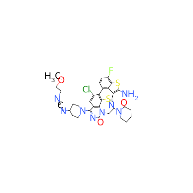 COCCN=C=NC1CCN(c2nc(=O)n3c4c(c(-c5ccc(F)c6sc(N)c(C#N)c56)c(Cl)cc24)SCC(N2CCCCC2=O)C3)CC1